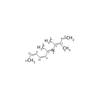 C=C/C(C)=C(C)/N=C(C)/C=C\C=C/C